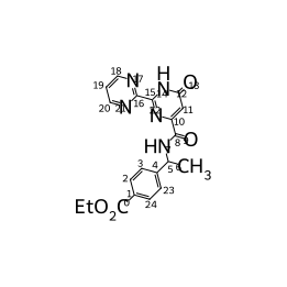 CCOC(=O)c1ccc(C(C)NC(=O)c2cc(=O)[nH]c(-c3ncccn3)n2)cc1